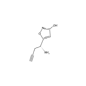 C#CC[C@@H](N)c1cc(O)no1